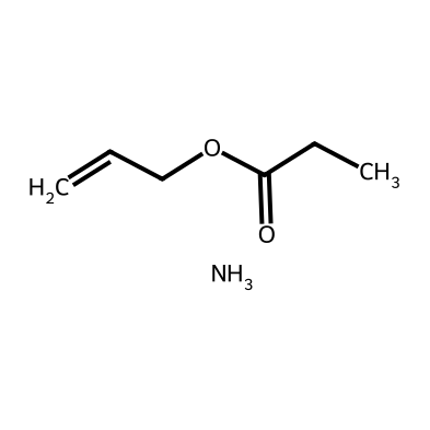 C=CCOC(=O)CC.N